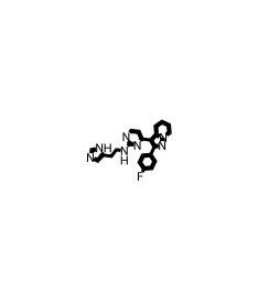 Fc1ccc(-c2nn3ccccc3c2-c2ccnc(NCCc3cnc[nH]3)n2)cc1